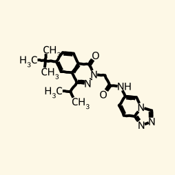 CC(C)c1nn(CC(=O)Nc2ccc3nncn3c2)c(=O)c2ccc(C(C)(C)C)cc12